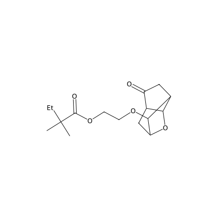 CCC(C)(C)C(=O)OCCOC1C2CC3C(=O)CC1C3O2